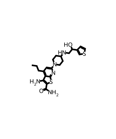 CCCc1cc(N2CCC(NCC(O)c3ccsc3)CC2)nc2sc(C(N)=O)c(N)c12